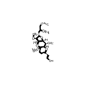 CCCCO[C@@H]1[C@@H]2OC3(OC)CC[C@H](CCO)O[C@@H]3[C@@H](OC(C)=O)[C@@H]2O[C@@H]1CC(O)COC(C)=O